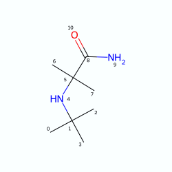 CC(C)(C)NC(C)(C)C(N)=O